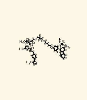 Cc1ncsc1-c1ccc(CNC(=O)[C@@H]2C[C@@H](O)CN2C(=O)[C@@H](NC(=O)COCC(F)(F)COCCCCCOc2cc(F)c([C@@H]3c4[nH]c5ccccc5c4C[C@@H](C)N3CC(C)(C)F)c(F)c2)C(C)(C)C)cc1